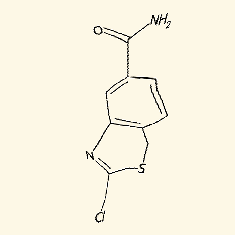 NC(=O)c1ccc2sc(Cl)nc2c1